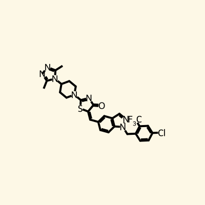 Cc1nnc(C)n1C1CCN(C2=NC(=O)C(=Cc3ccc4c(cnn4Cc4ccc(Cl)cc4C(F)(F)F)c3)S2)CC1